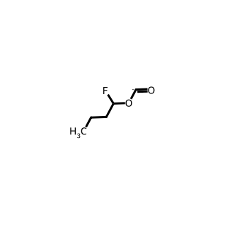 CCCC(F)O[C]=O